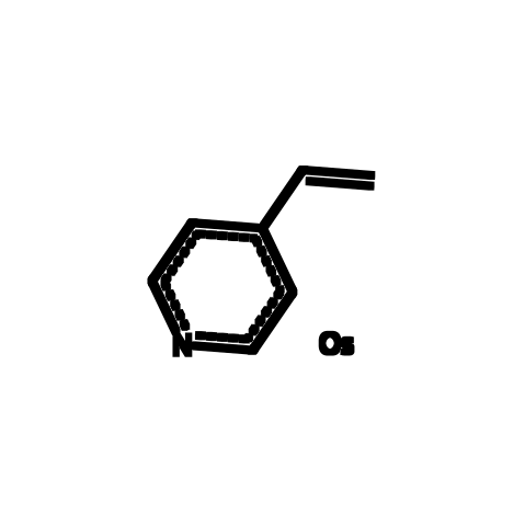 C=Cc1ccncc1.[Os]